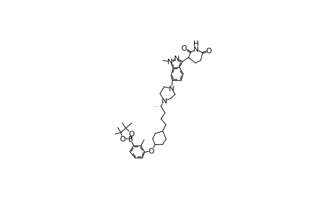 Cc1c(OC2CCC(CCC[C@H](C)N3CCN(c4ccc5c(C6CCC(=O)NC6=O)nn(C)c5c4)CC3)CC2)cccc1B1OC(C)(C)C(C)(C)O1